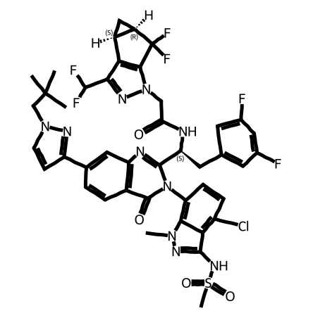 Cn1nc(NS(C)(=O)=O)c2c(Cl)ccc(-n3c([C@H](Cc4cc(F)cc(F)c4)NC(=O)Cn4nc(C(F)F)c5c4C(F)(F)[C@@H]4C[C@H]54)nc4cc(-c5ccn(CC(C)(C)C)n5)ccc4c3=O)c21